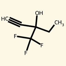 C#CC(O)(CC)C(F)(F)F